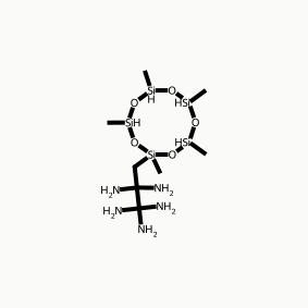 C[SiH]1O[SiH](C)O[SiH](C)O[Si](C)(CC(N)(N)C(N)(N)N)O[SiH](C)O1